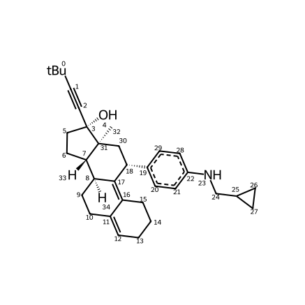 CC(C)(C)C#C[C@]1(O)CC[C@H]2[C@@H]3CCC4=CCCCC4=C3[C@@H](c3ccc(NCC4CC4)cc3)C[C@@]21C